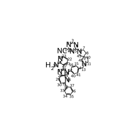 N#Cc1ncnc(N2CCC3(CCN(Cc4ccc(-n5c(-c6cccnc6N)nc6ccc(-c7ccccc7)nc65)cc4)C3)C2)n1